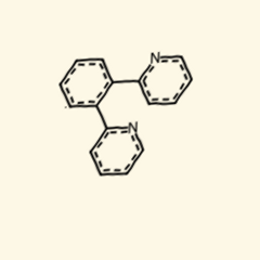 [c]1cccc(-c2ccccn2)c1-c1ccccn1